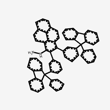 NNc1c(-c2cccc(C3(c4ccccc4)c4ccccc4-c4ccccc43)c2)c(-c2cccc(C3(c4ccccc4)c4ccccc4-c4ccccc43)c2)c2ccc3cccc4ccc1c2c43